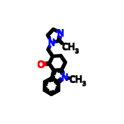 CC1=NCCN1CC1CCc2c(c3ccccc3n2C)C1=O